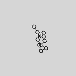 c1ccc(-c2ccc(N(c3cccc(-c4oc5c6ccccc6c6ccccc6c5c4-c4ccccc4)c3)c3cccc4ccccc34)cc2)cc1